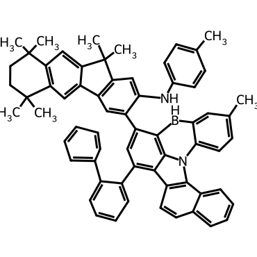 Cc1ccc(Nc2cc3c(cc2-c2cc(-c4ccccc4-c4ccccc4)c4c5ccc6ccccc6c5n5c4c2Bc2cc(C)ccc2-5)-c2cc4c(cc2C3(C)C)C(C)(C)CCC4(C)C)cc1